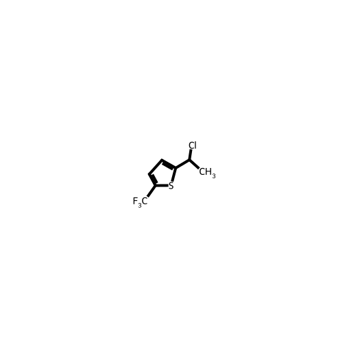 CC(Cl)c1ccc(C(F)(F)F)s1